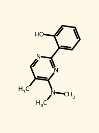 Cc1cnc(-c2ccccc2O)nc1N(C)C